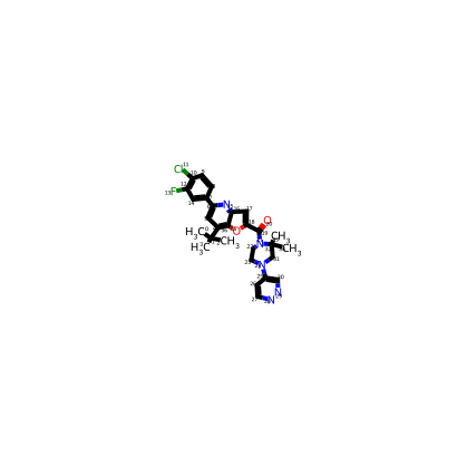 CC(C)(C)c1cc(-c2ccc(Cl)c(F)c2)nc2cc(C(=O)N3CCN(c4ccnnc4)CC3(C)C)oc12